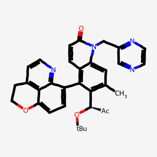 CC(=O)[C@@H](OC(C)(C)C)c1c(C)cc2c(ccc(=O)n2Cc2cnccn2)c1-c1ccc2c3c(ccnc13)CCO2